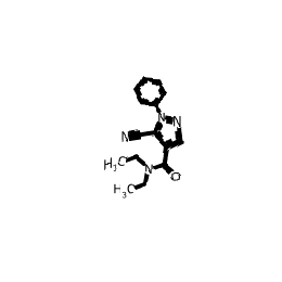 CCN(CC)C(=O)c1cnn(-c2ccccc2)c1C#N